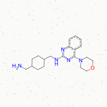 NCC1CCC(CNc2nc(N3CCOCC3)c3ccccc3n2)CC1